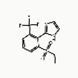 CCS(=O)(=O)c1cccc(C(F)(F)F)c1-c1ncc[nH]1